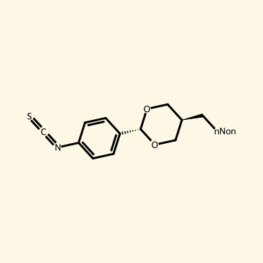 CCCCCCCCCC[C@H]1CO[C@H](c2ccc(N=C=S)cc2)OC1